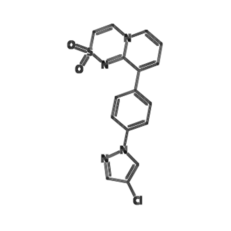 O=S1(=O)C=CN2C=CC=C(c3ccc(-n4cc(Cl)cn4)cc3)C2=N1